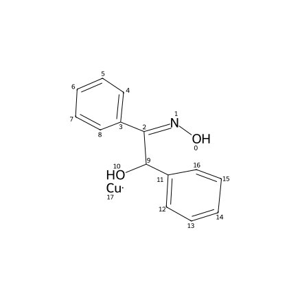 ON=C(c1ccccc1)C(O)c1ccccc1.[Cu]